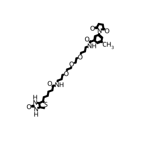 Cc1cc(C(=O)NCCCOCCOCCOCCCNC(=O)CCCCC2SCC3NC(=O)NC32)cc(N2C(=O)CCC2=O)c1